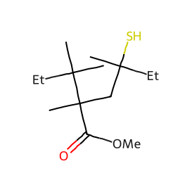 CCC(C)(S)CC(C)(C(=O)OC)C(C)(C)CC